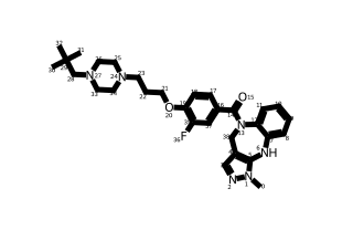 Cn1ncc2c1Nc1ccccc1N(C(=O)c1ccc(OCCCN3CCN(CC(C)(C)C)CC3)c(F)c1)C2